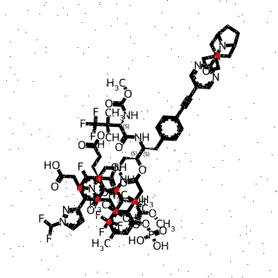 COC(=O)N[C@H](C(=O)N[C@@H](Cc1ccc(C#Cc2cnc(N3CC4CCC(C3)N4C3COC3)nc2)cc1)[C@H](CN(Cc1c(F)cc(-c2ccn(C(F)F)n2)cc1F)NC(=O)[C@@H](NC(=O)OC)C(C)(C)C(F)(F)F)OC(=O)CC(C)(C)c1c(CC(=O)N(CCC(=O)O)[C@@H](CCC(=O)O)C(=O)O)cc(C)cc1OP(=O)(O)O)C(C)(C)C(F)(F)F